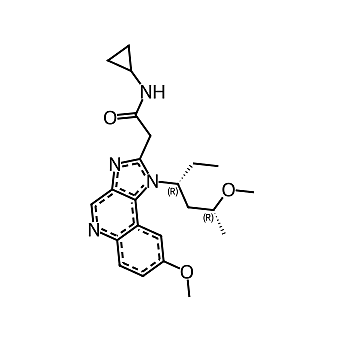 CC[C@H](C[C@@H](C)OC)n1c(CC(=O)NC2CC2)nc2cnc3ccc(OC)cc3c21